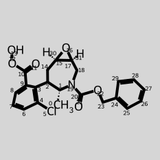 C[C@@H]1C(c2c(Cl)cccc2C(=O)OO)C[C@H]2O[C@H]2CN1C(=O)OCc1ccccc1